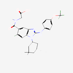 C[C@H]1CC(n2c(Nc3ccc(OC(F)(F)F)cc3)nc3cc(C(=O)N(C)[C@@H](C)C(=O)O)c(F)cc32)CC(C)(C)C1